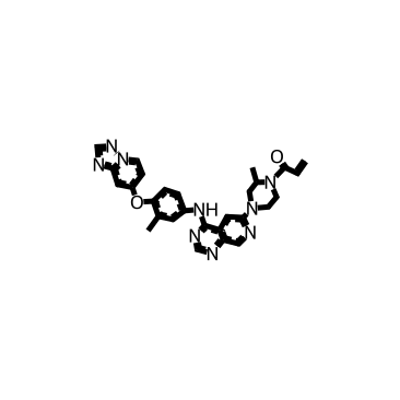 C=CC(=O)N1CCN(c2cc3c(Nc4ccc(Oc5ccn6ncnc6c5)c(C)c4)ncnc3cn2)CC1C